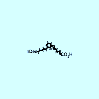 CCCCCCCCCCCCCCCc1cccc(OCCCCCC(=O)O)c1